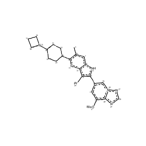 COc1cc(-c2[nH]c3cc(C)c(C4CCC(N5CCC5)CC4)nc3c2C(C)C)cn2ncnc12